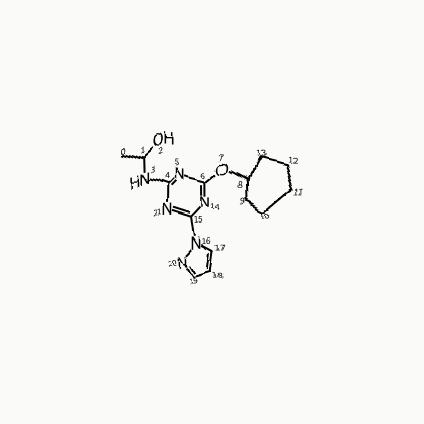 CC(O)Nc1nc(OC2CCCCC2)nc(-n2cccn2)n1